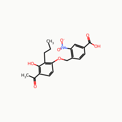 CCCc1c(OCc2ccc(C(=O)O)cc2[N+](=O)[O-])ccc(C(C)=O)c1O